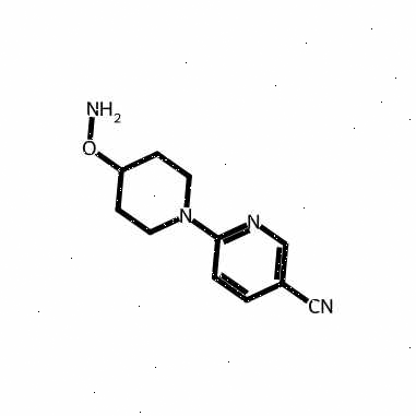 N#Cc1ccc(N2CCC(ON)CC2)nc1